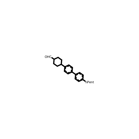 CCCCCc1ccc(-c2ccc(C3CCC(C=O)CC3)cc2)cc1